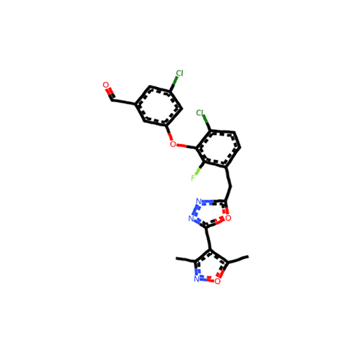 Cc1noc(C)c1-c1nnc(Cc2ccc(Cl)c(Oc3cc(Cl)cc(C=O)c3)c2F)o1